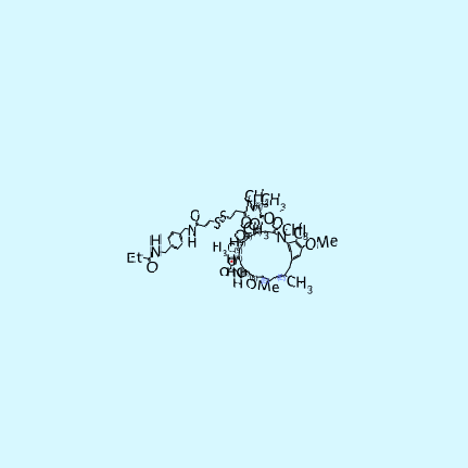 CCC(=O)NCc1ccc(CNC(=O)CCSSCCC(=O)N(C)[C@H](C)C(=O)O[C@@H]2CC(=O)N(C)c3cc(cc(OC)c3Cl)C/C(C)=C/C=C/[C@H](OC)[C@]3(O)C[C@@H](OC(=O)N3)[C@H](C)[C@@H]3O[C@]23C)cc1